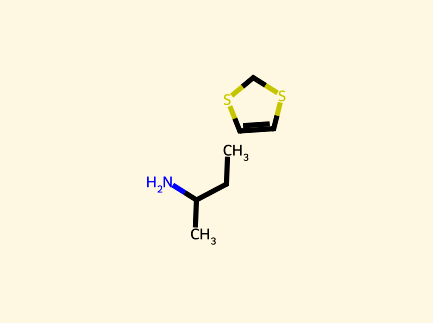 C1=CSCS1.CCC(C)N